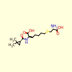 CC1(C)C[C@@H]1C(=O)NC(=CCCCCSC[C@H](N)C(=O)O)C(=O)O